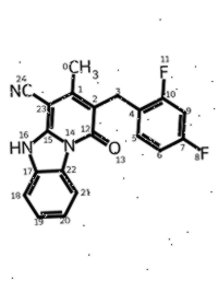 Cc1c(Cc2ccc(F)cc2F)c(=O)n2c([nH]c3ccccc32)c1C#N